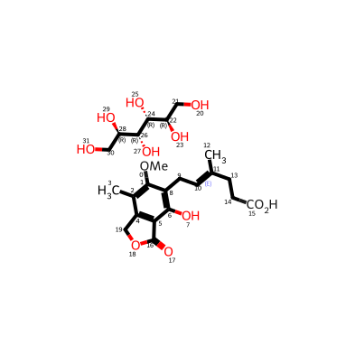 COc1c(C)c2c(c(O)c1C/C=C(\C)CCC(=O)O)C(=O)OC2.OC[C@@H](O)[C@@H](O)[C@H](O)[C@H](O)CO